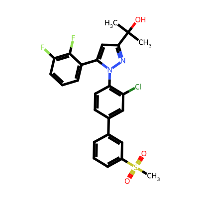 CC(C)(O)c1cc(-c2cccc(F)c2F)n(-c2ccc(-c3cccc(S(C)(=O)=O)c3)cc2Cl)n1